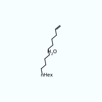 C=CCCCCCCCCCCCCCC.O